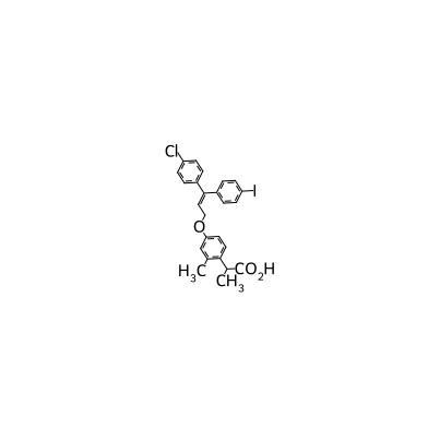 Cc1cc(OCC=C(c2ccc(Cl)cc2)c2ccc(I)cc2)ccc1C(C)C(=O)O